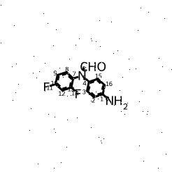 Nc1ccc(N(C=O)c2ccc(F)cc2F)cc1